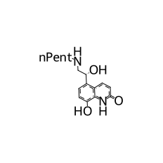 [CH2]CCCCNC[C@H](O)c1ccc(O)c2[nH]c(=O)ccc12